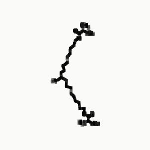 CCCCC(C)C(=O)OCCCCCCCCCC(CCCCCCCCCOC(=O)C(C)CCCC)C(C)C